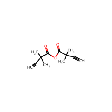 C#CC(C)(C)C(=O)OC(=O)C(C)(C)C#C